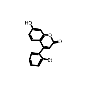 CCc1ccccc1-c1cc(=O)oc2cc(O)ccc12